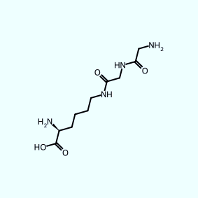 NCC(=O)NCC(=O)NCCCC[C@H](N)C(=O)O